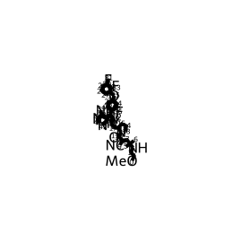 COCCNC(C)(C)C=C(C#N)C(=O)N1CCCC1Cn1nc(-c2ccc(Oc3cccc(F)c3F)cc2F)c2c(N)ncnc21